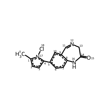 Cc1ccc(-c2ccc3c(c2)C=NCC(=O)N3)n1Cl